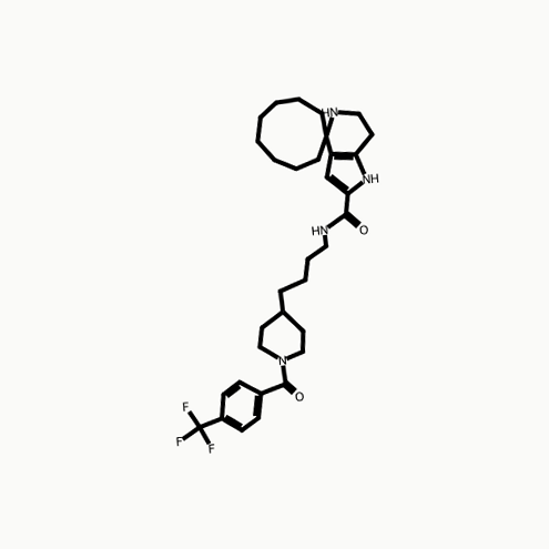 O=C(NCCCCC1CCN(C(=O)c2ccc(C(F)(F)F)cc2)CC1)c1cc2c([nH]1)CCNC21CCCCCCCC1